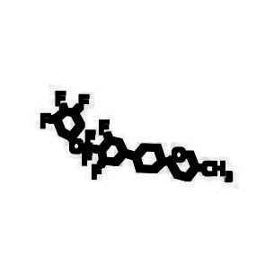 CC1CCC(C2CCC(C3CC(F)C(C(F)(F)OC4CC(F)C(F)C(F)C4)C(F)C3)CC2)OC1